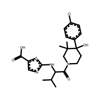 CC(C)C(Nc1ncc(C(=O)O)s1)C(=O)N1CCC(O)(c2ccc(Cl)cc2)C(C)(C)C1